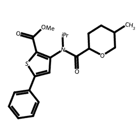 COC(=O)c1sc(-c2ccccc2)cc1N(C(=O)C1CCC(C)CO1)C(C)C